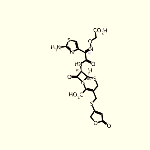 Nc1nc(/C(=N\OCC(=O)O)C(=O)N[C@@H]2C(=O)N3C(C(=O)O)=C(CSC4=CC(=O)OC4)CS[C@H]23)cs1